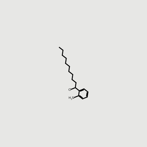 CCCCCCCCCCC(Cl)c1ccccc1[SiH3]